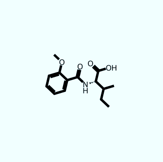 CCC(C)[C@H](NC(=O)c1ccccc1OC)C(=O)O